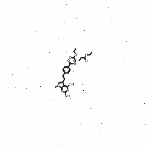 CCOC(=O)CC[C@H](NC(=O)c1ccc(CCc2cn(C)c3nc(N)nc(O)c23)cc1)C(=O)OCC